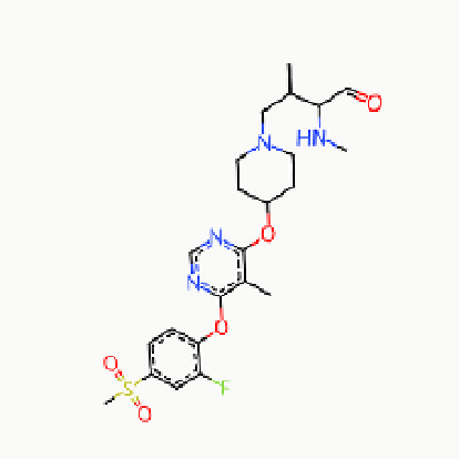 CNC(C=O)C(C)CN1CCC(Oc2ncnc(Oc3ccc(S(C)(=O)=O)cc3F)c2C)CC1